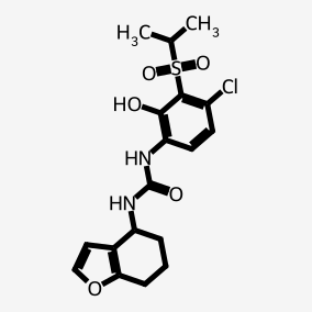 CC(C)S(=O)(=O)c1c(Cl)ccc(NC(=O)NC2CCCc3occc32)c1O